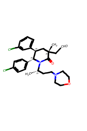 C[C@@H](CCN1CCOCC1)N1C(=O)[C@@](C)(CC=O)C[C@H](c2cccc(Cl)c2)[C@H]1c1ccc(Cl)cc1